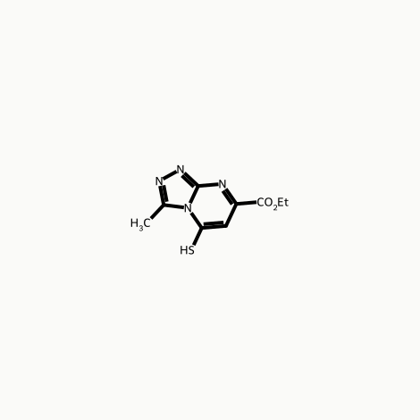 CCOC(=O)c1cc(S)n2c(C)nnc2n1